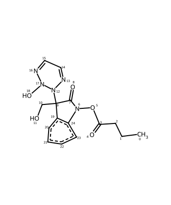 CCCC(=O)ON1C(=O)C(CO)(N2N=CC=NN2O)c2ccccc21